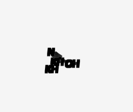 N#CO.[KH].[KH]